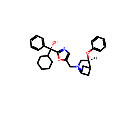 O[C@](c1ccccc1)(c1ncc(C[N+]2=C3CC(C3)[C@H](Oc3ccccc3)C2)o1)C1CCCCC1